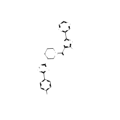 Cc1nc(-c2cnccn2)sc1C(=O)N1CCC[C@H](c2nc(-c3ccc(F)cc3)no2)C1